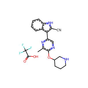 Cc1nc(-c2c(C#N)[nH]c3ccccc23)cnc1OC1CCCNC1.O=C(O)C(F)(F)F